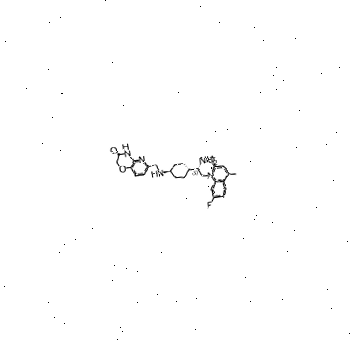 Cc1cc(=O)n(C[C@@H](N)[C@H]2CC[C@H](NCc3ccc4c(n3)NC(=O)CO4)CC2)c2cc(F)ccc12